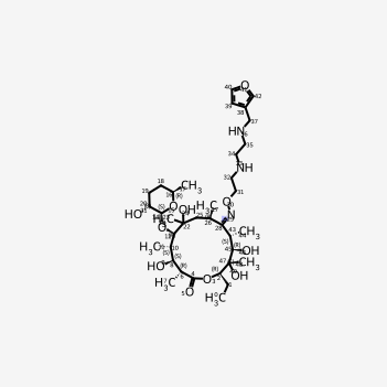 CC[C@H]1OC(=O)[C@H](C)[C@@H](O)[C@H](C)[C@@H](O[C@@H]2O[C@H](C)CC[C@H]2O)C(C)(O)C[C@@H](C)/C(=N\OCCNCCNCc2ccoc2)[C@H](C)[C@@H](O)[C@]1(C)O